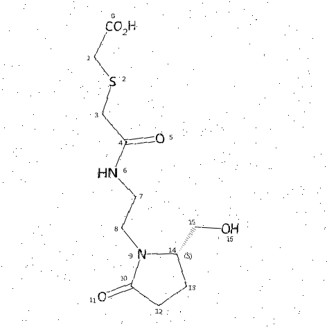 O=C(O)CSCC(=O)NCCN1C(=O)CC[C@H]1CO